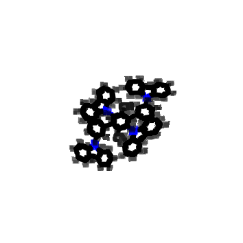 N#Cc1c(-c2cccc(-n3c4ccccc4c4ccccc43)c2)c(-n2c3ccccc3c3ccccc32)c(C#N)c(-c2cccc(-n3c4ccccc4c4ccccc43)c2)c1-n1c2ccccc2c2ccccc21